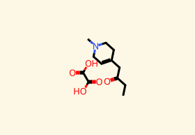 CCC(=O)CC1=CCN(C)CC1.O=C(O)C(=O)O